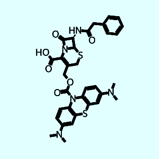 CN(C)c1ccc2c(c1)Sc1cc(N(C)C)ccc1N2C(=O)OCC1=C(C(=O)O)N2C(=O)[C@H](NC(=O)Cc3ccccc3)C2SC1